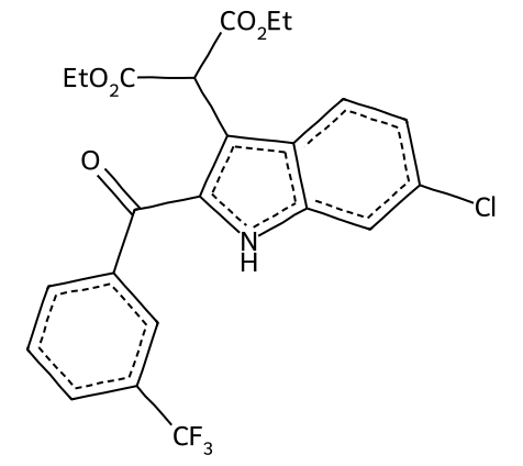 CCOC(=O)C(C(=O)OCC)c1c(C(=O)c2cccc(C(F)(F)F)c2)[nH]c2cc(Cl)ccc12